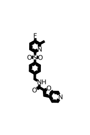 Cc1nc(S(=O)(=O)c2ccc(CNC(=O)c3cc4ccncc4o3)cc2)ccc1F